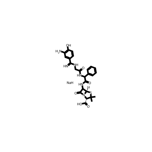 CC1(C)S[C@@H]2C(NC(=O)C(NC(=O)CNC(=N)c3ccc(O)c(N)c3)c3ccccc3)C(=O)N2[C@H]1C(=O)O.[NaH]